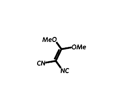 [C-]#[N+]C([N+]#[C-])=C(OC)OC